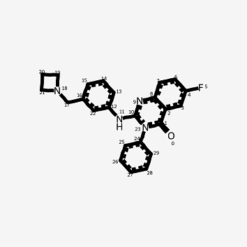 O=c1c2cc(F)ccc2nc(Nc2cccc(CN3CCC3)c2)n1-c1ccccc1